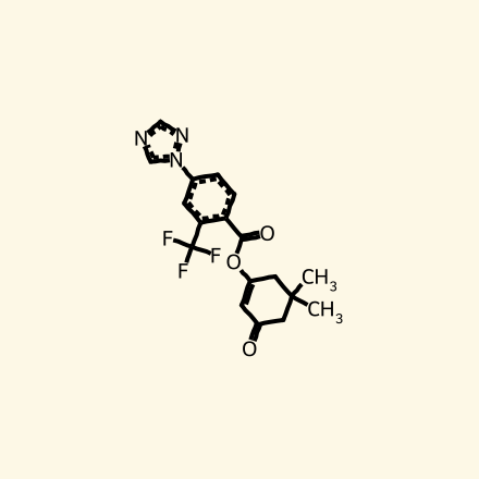 CC1(C)CC(=O)C=C(OC(=O)c2ccc(-n3cncn3)cc2C(F)(F)F)C1